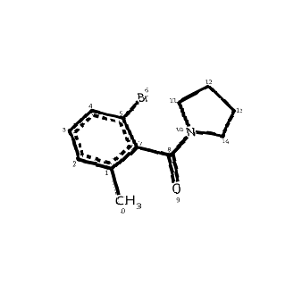 Cc1cccc(Br)c1C(=O)N1CCCC1